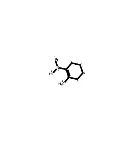 CC1=C(N(S)C(C)C)CCCC1